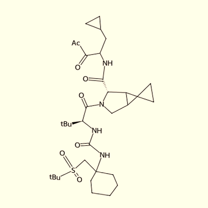 CC(=O)C(=O)C(CC1CC1)NC(=O)[C@@H]1C2C(CN1C(=O)[C@@H](NC(=O)NC1(CS(=O)(=O)C(C)(C)C)CCCCC1)C(C)(C)C)C21CC1